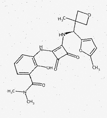 Cc1ccc([C@@H](Nc2c(Nc3cccc(C(=O)N(C)C)c3O)c(=O)c2=O)C2(C)COC2)o1